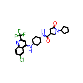 O=C(N[C@H]1CC[C@@H](Nc2cc(C(F)(F)F)nc3ccc(Cl)cc23)CC1)C1CC(=O)N(C2CCCC2)C1